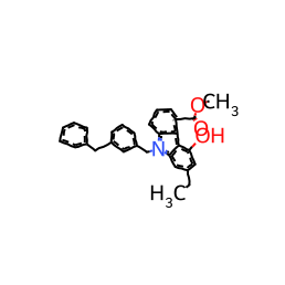 CCc1cc(O)c2c3c(C(=O)OC)cccc3n(Cc3cccc(Cc4ccccc4)c3)c2c1